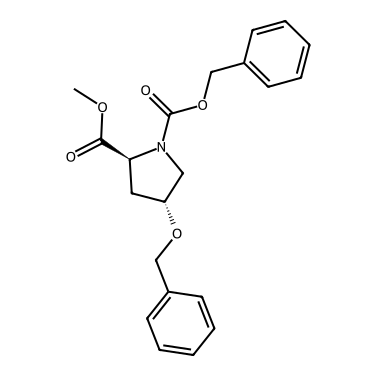 COC(=O)[C@@H]1C[C@@H](OCc2ccccc2)CN1C(=O)OCc1ccccc1